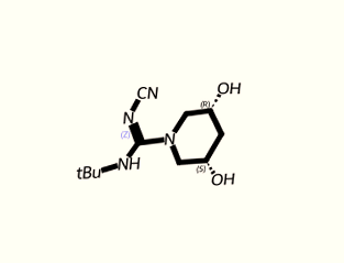 CC(C)(C)N/C(=N/C#N)N1C[C@H](O)C[C@H](O)C1